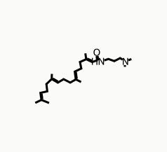 CC(C)=CCCC(C)=CCCC(C)=CCCC(C)=CC(=O)NCCCN(C)C